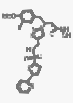 COc1ccc(C[C@@H](CC(=O)NO)n2cc(CNS(=O)(=O)c3ccc(-c4ccccn4)s3)nn2)cc1F